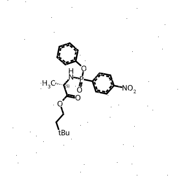 C[C@H](NP(=O)(Oc1ccccc1)c1ccc([N+](=O)[O-])cc1)C(=O)OCCC(C)(C)C